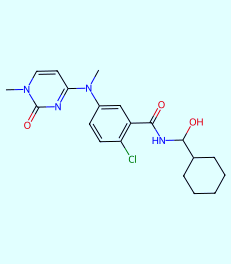 CN(c1ccc(Cl)c(C(=O)NC(O)C2CCCCC2)c1)c1ccn(C)c(=O)n1